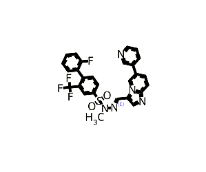 CN(/N=C/c1cnc2ccc(-c3cccnc3)cn12)S(=O)(=O)c1ccc(-c2ccccc2F)c(C(F)(F)F)c1